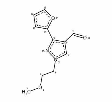 COCCn1cc(C=O)c(-c2ccco2)n1